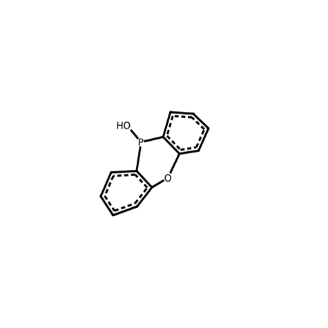 OP1c2ccccc2Oc2ccccc21